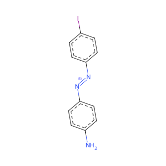 Nc1ccc(/N=N/c2ccc(I)cc2)cc1